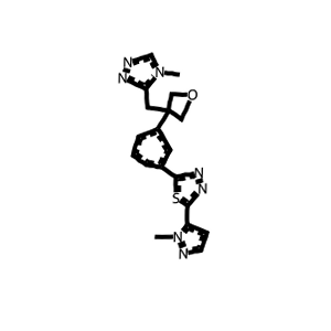 Cn1cnnc1CC1(c2cccc(-c3nnc(-c4ccnn4C)s3)c2)COC1